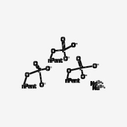 CCCCCOP(=O)([O-])[O-].CCCCCOP(=O)([O-])[O-].CCCCCOP(=O)([O-])[O-].[Nd+3].[Nd+3]